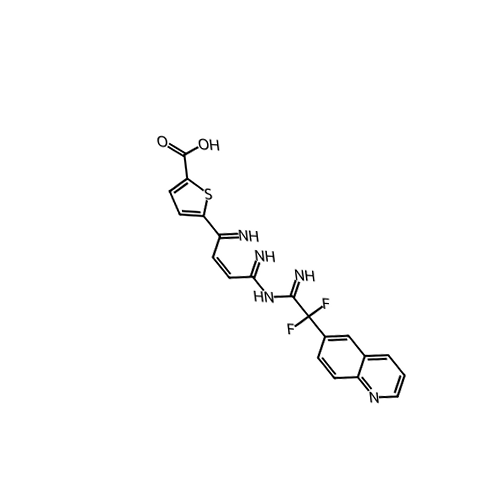 N=C(/C=C\C(=N)c1ccc(C(=O)O)s1)NC(=N)C(F)(F)c1ccc2ncccc2c1